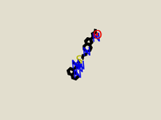 Cc1cc(-c2ccc3c(c2)CCN(CCCSc2nnc(-c4cccc5cccnc45)n2C)CC3)no1